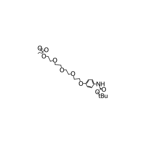 CC(C)(C)OC(=O)Nc1ccc(OCCOCCOCCOCCOS(C)(=O)=O)cc1